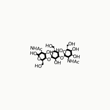 CC(=O)N[C@H]1[C@H](O[C@H]2[C@@H](O)[C@@H](CO)O[C@@H](O[C@H]3[C@H](O)[C@@H](NC(C)=O)C(O)O[C@@H]3CO)[C@@H]2O)O[C@H](CO)[C@@H](O)[C@@H]1O